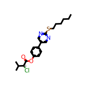 CCCCCCSc1ncc(-c2ccc(OC(=O)[C@@H](Cl)C(C)C)cc2)cn1